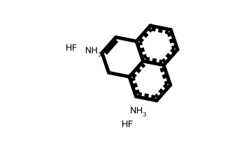 C1=Cc2cccc3cccc(c23)C1.F.F.N.N